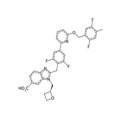 Cc1cc(F)c(COc2cccc(-c3cc(F)c(Cc4nc5ccc(C(=O)O)cc5n4C[C@@H]4CCO4)c(F)c3)n2)cc1F